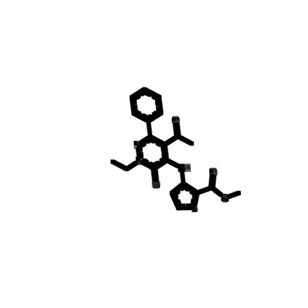 CCn1nc(-c2ccccc2)c(C(C)=O)c(Nc2ccsc2C(=O)OC)c1=O